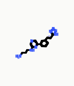 NCCCNc1cncc(-c2cccc(/C=C/c3nnn[nH]3)c2)n1